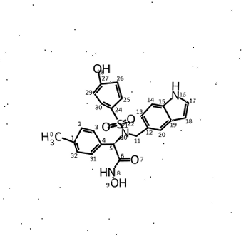 Cc1ccc([C@H](C(=O)NO)N(Cc2ccc3[nH]ccc3c2)S(=O)(=O)c2ccc(O)cc2)cc1